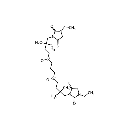 CCN1CC(=S)N(CC(C)(C)CC[S+]([O-])CCC[S+]([O-])CCC(C)(C)CN2C(=O)N(CC)CC2=S)C1=O